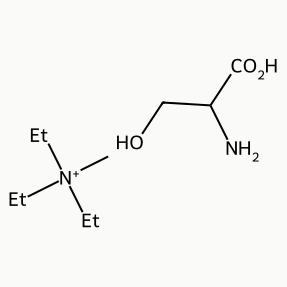 CC[N+](C)(CC)CC.NC(CO)C(=O)O